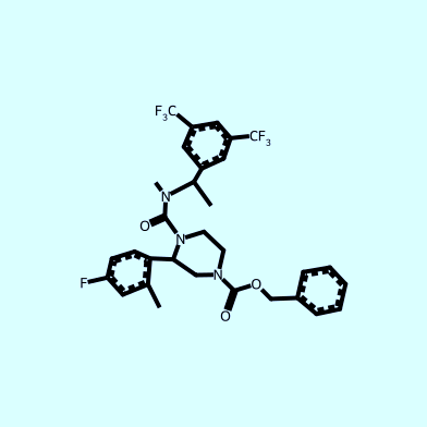 Cc1cc(F)ccc1C1CN(C(=O)OCc2ccccc2)CCN1C(=O)N(C)C(C)c1cc(C(F)(F)F)cc(C(F)(F)F)c1